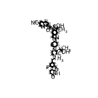 CC(C)(O)C[C@H]1CN(CCc2cc(F)c([C@H]3CCC(=O)NC3=O)c(F)c2)CCN1C1CCC(n2cc3cc(NC(=O)c4ccc5cc(C#N)cnn45)c(C(C)(C)O)cc3n2)CC1